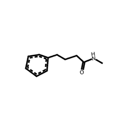 CNC(=O)CCCc1ccccc1